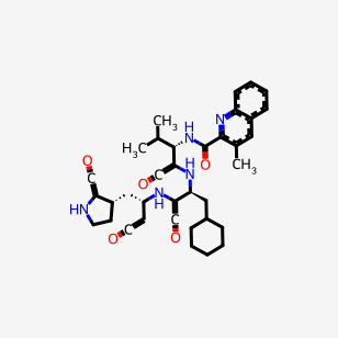 Cc1cc2ccccc2nc1C(=O)N[C@H](C(=C=O)N[C@@H](CC1CCCCC1)C(=C=O)N[C@H](C=C=O)C[C@@H]1CCNC1=C=O)C(C)C